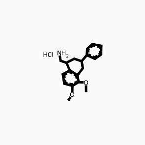 COc1ccc2c(c1OC)CC(c1ccccc1)CC2CN.Cl